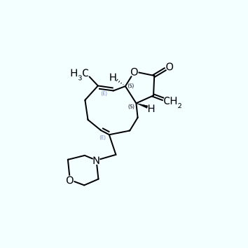 C=C1C(=O)O[C@@H]2/C=C(\C)CC/C=C(/CN3CCOCC3)CC[C@@H]12